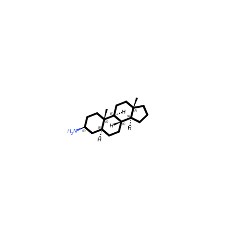 C[C@@]12CCC[C@H]1[C@@H]1CC[C@H]3C[C@@H](N)CC[C@]3(C)[C@H]1CC2